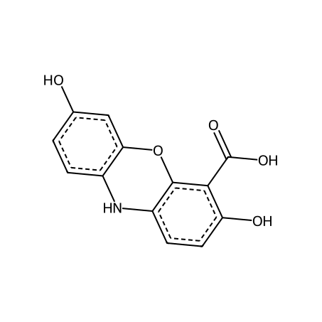 O=C(O)c1c(O)ccc2c1Oc1cc(O)ccc1N2